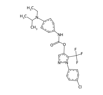 CCN(c1ccc(NC(=O)Oc2cnn(-c3ccc(Cl)cc3)c2C(F)(F)F)cc1)C(C)C